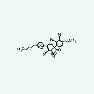 CCCCCC12CCC(C3=C(C#N)C(C#N)C(C(=O)O)(c4ccc(CCC)c(C#N)c4C#N)C=C3)(CC1)CC2